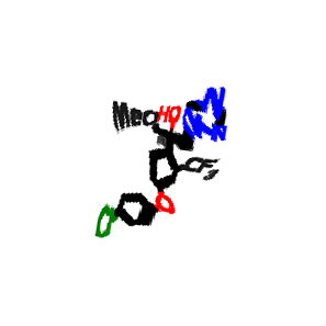 COC[C@](O)(Cn1cncn1)c1ccc(Oc2ccc(Cl)cc2)cc1C(F)(F)F